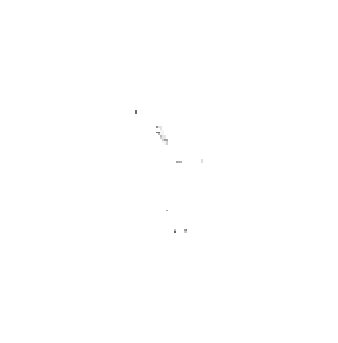 CCCCCCCCCC(O)C#CC(=O)O